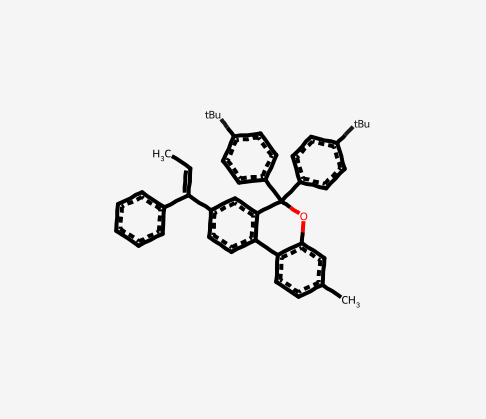 CC=C(c1ccccc1)c1ccc2c(c1)C(c1ccc(C(C)(C)C)cc1)(c1ccc(C(C)(C)C)cc1)Oc1cc(C)ccc1-2